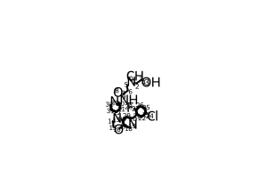 CN(CCO)CCC(=O)Nc1cc(N2CCOc3cnc(-c4cc(Cl)ccc4F)cc32)ccn1